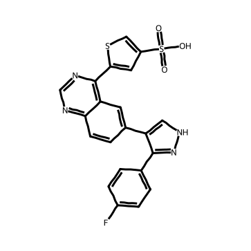 O=S(=O)(O)c1csc(-c2ncnc3ccc(-c4c[nH]nc4-c4ccc(F)cc4)cc23)c1